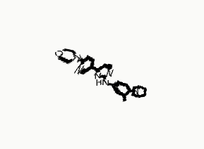 Cc1cc(Nc2nccc(-c3ccc(N4CCOCC4)nc3)n2)ccc1N1C2CCC1CC2